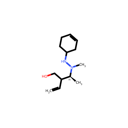 C=CC(CO)[C@H](C)N(C)NC1CC=CCC1